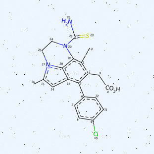 Cc1c(CC(=O)O)c(-c2ccc(Cl)cc2)c2cc(C)n3c2c1N(C(N)=S)CC3